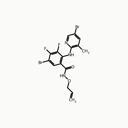 C=CCONC(=O)c1cc(Br)c(F)c(F)c1Nc1ncc(Br)cc1C